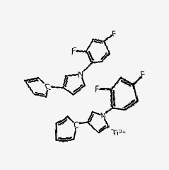 Fc1ccc(-n2ccc(-[c-]3cccc3)c2)c(F)c1.Fc1ccc(-n2ccc(-[c-]3cccc3)c2)c(F)c1.[Ti+2]